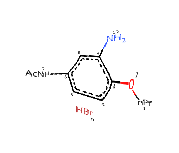 Br.CCCOc1ccc(NC(C)=O)cc1N